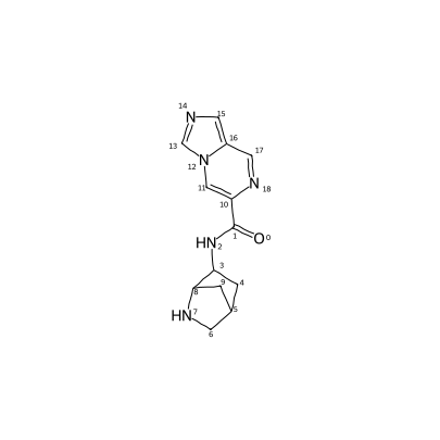 O=C(NC1CC2CNC1C2)c1cn2cncc2cn1